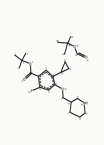 CC(C)(C)OC(=O)c1cc(C2CC2)c(OCC2CCCNC2)cc1F.CC(C)(C)OC=O